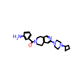 Nc1cccc(C(=O)N2CCc3cnc(N4CCN(C5CCC5)CC4)cc3CC2)c1